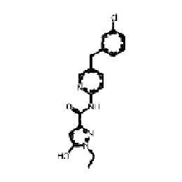 CCn1nc(C(=O)Nc2ccc(Cc3cccc(Cl)c3)cn2)cc1O